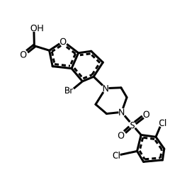 O=C(O)c1cc2c(Br)c(N3CCN(S(=O)(=O)c4c(Cl)cccc4Cl)CC3)ccc2o1